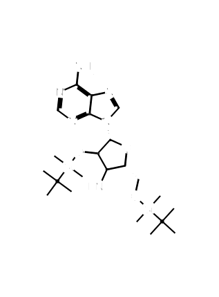 CC(C)(C)[Si](C)(C)OC[C@H]1O[C@@H](n2cnc3c(N)ncnc32)C(O[Si](C)(C)C(C)(C)C)C1N